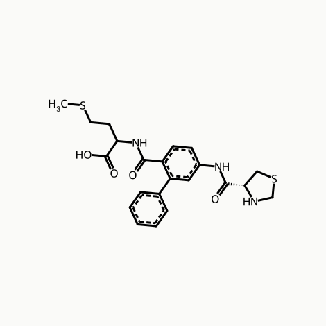 CSCCC(NC(=O)c1ccc(NC(=O)[C@@H]2CSCN2)cc1-c1ccccc1)C(=O)O